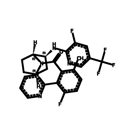 Cc1ccc(F)c(-c2ncccn2)c1C(=O)N1[C@@H]2CC[C@H]1[C@H](Nc1ncc(C(F)(F)F)cc1F)C2